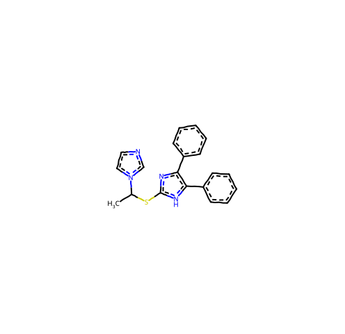 CC(Sc1nc(-c2ccccc2)c(-c2ccccc2)[nH]1)n1ccnc1